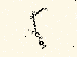 CCCCCCCC(CC)C(=O)OCCCCCCN(C(=O)O)C1CCN(C(=O)Oc2ccc([N+](=O)[O-])cc2)CC1